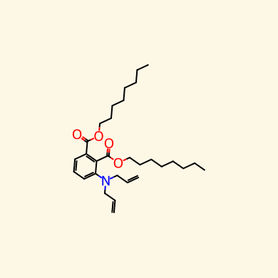 C=CCN(CC=C)c1cccc(C(=O)OCCCCCCCC)c1C(=O)OCCCCCCCC